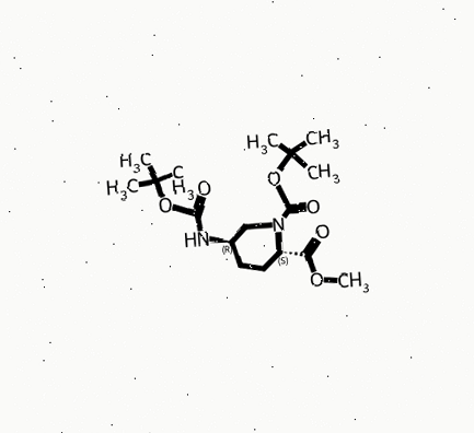 COC(=O)[C@@H]1CC[C@@H](NC(=O)OC(C)(C)C)CN1C(=O)OC(C)(C)C